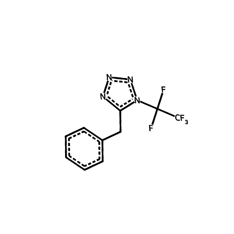 FC(F)(F)C(F)(F)n1nnnc1Cc1ccccc1